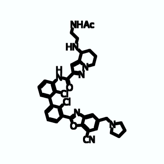 CC(=O)NCCNC1CCCn2nc(C(=O)Nc3cccc(-c4cccc(-c5nc6cc(CN7CCCC7)cc(C#N)c6o5)c4Cl)c3Cl)cc21